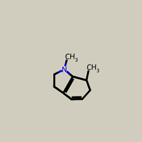 CC1CC=CC2=C1N(C)CC2